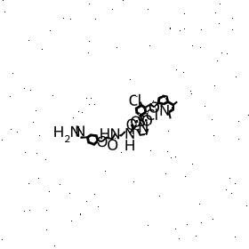 Cc1cc(C)c2cccc(OCc3c(Cl)ccc(S(=O)(=O)N4CCC[C@H]4C(=O)NCCNC(=O)COc4ccc(C=NN)cc4)c3Cl)c2n1